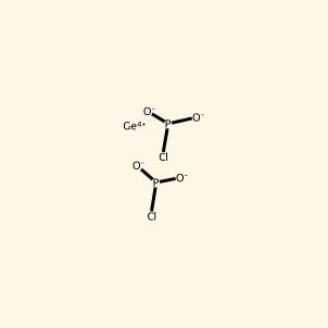 [Ge+4].[O-]P([O-])Cl.[O-]P([O-])Cl